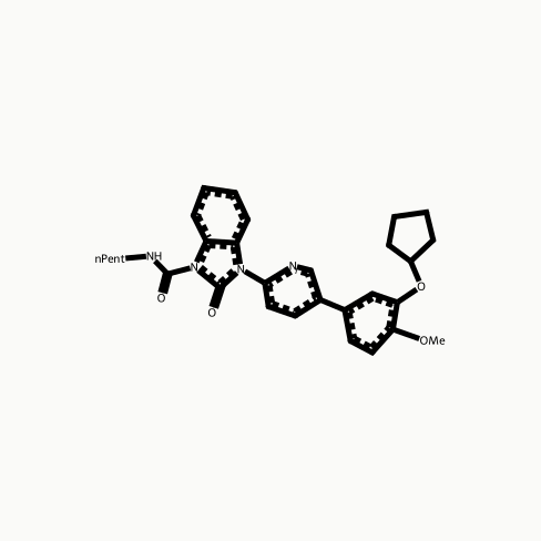 CCCCCNC(=O)n1c(=O)n(-c2ccc(-c3ccc(OC)c(OC4CCCC4)c3)cn2)c2ccccc21